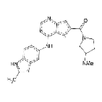 CNC1CCN(C(=O)c2cc3nccc(Nc4ccc5[nH]c(C)cc5c4)c3s2)C1